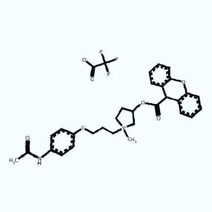 CC(=O)Nc1ccc(OCCC[N+]2(C)CCC(OC(=O)C3c4ccccc4Oc4ccccc43)C2)cc1.O=C([O-])C(F)(F)F